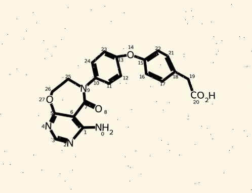 Nc1ncnc2c1C(=O)N(c1ccc(Oc3ccc(CC(=O)O)cc3)cc1)CCO2